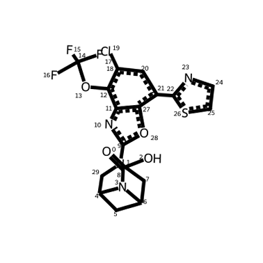 O=C(O)N1C2CC1CN(c1nc3c(OC(F)(F)F)c(Cl)cc(-c4nccs4)c3o1)C2